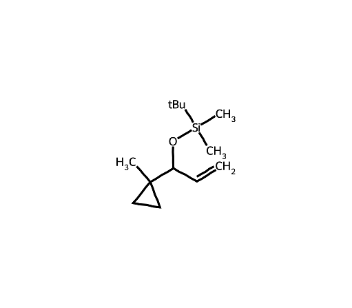 C=CC(O[Si](C)(C)C(C)(C)C)C1(C)CC1